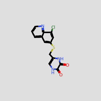 O=c1[nH]cc(CSc2cc(Cl)c3ncccc3c2)[nH]c1=O